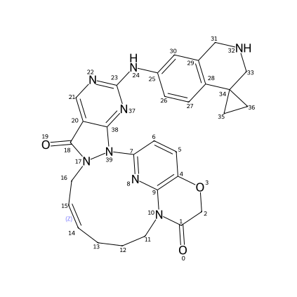 O=C1COc2ccc3nc2N1CCC/C=C\Cn1c(=O)c2cnc(Nc4ccc5c(c4)CNCC54CC4)nc2n1-3